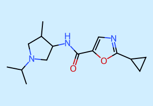 CC1CN(C(C)C)CC1NC(=O)c1cnc(C2CC2)o1